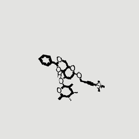 CC1O[C@@H](O[C@@H]2C[C@H](OCC#C[Si](C)(C)C)OC3COC(c4ccccc4)O[C@@H]32)C(C)[C@@H](C)[C@@H]1C